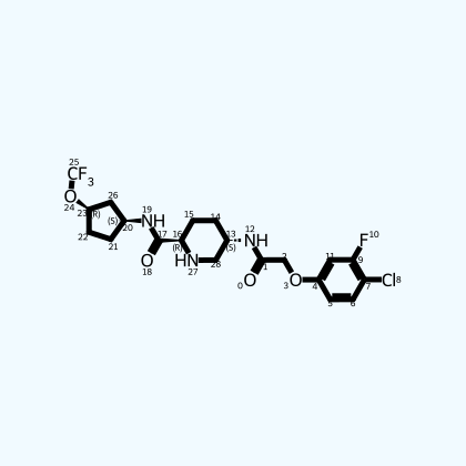 O=C(COc1ccc(Cl)c(F)c1)N[C@H]1CC[C@H](C(=O)N[C@H]2CC[C@@H](OC(F)(F)F)C2)NC1